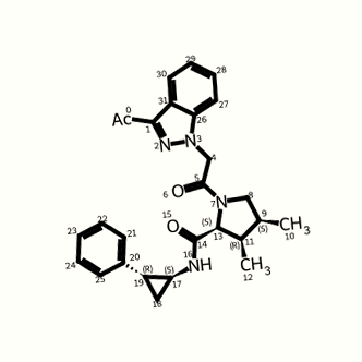 CC(=O)c1nn(CC(=O)N2C[C@@H](C)[C@@H](C)[C@H]2C(=O)N[C@H]2C[C@@H]2c2ccccc2)c2ccccc12